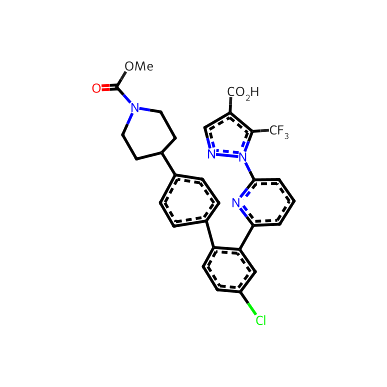 COC(=O)N1CCC(c2ccc(-c3ccc(Cl)cc3-c3cccc(-n4ncc(C(=O)O)c4C(F)(F)F)n3)cc2)CC1